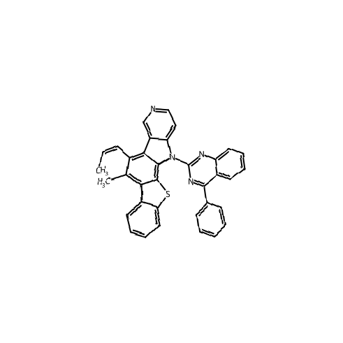 C/C=C\c1c(C)c2c3ccccc3sc2c2c1c1cnccc1n2-c1nc(-c2ccccc2)c2ccccc2n1